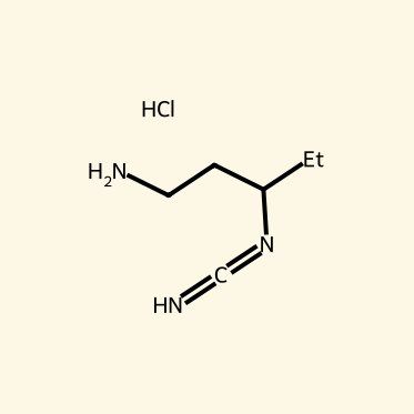 CCC(CCN)N=C=N.Cl